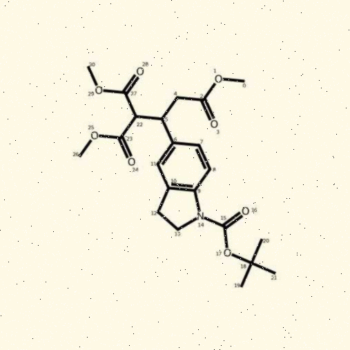 COC(=O)CC(c1ccc2c(c1)CCN2C(=O)OC(C)(C)C)C(C(=O)OC)C(=O)OC